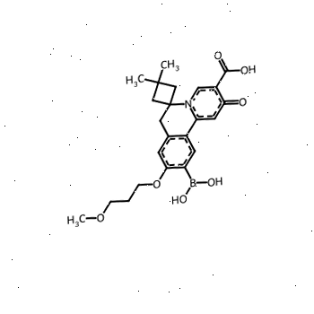 COCCCOc1cc2c(cc1B(O)O)-c1cc(=O)c(C(=O)O)cn1C1(C2)CC(C)(C)C1